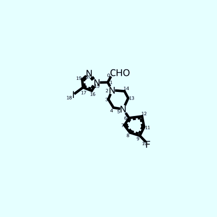 O=CC(N1CCN(c2ccc(F)cc2)CC1)n1cc(I)cn1